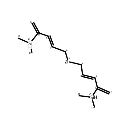 C=C(C=C[CH2][Zr][CH2]C=CC(=C)[SiH](C)C)[SiH](C)C